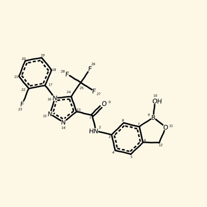 O=C(Nc1ccc2c(c1)B(O)OC2)c1nnn(-c2ccccc2F)c1C(F)(F)F